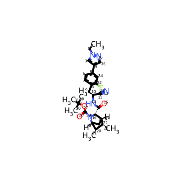 CCn1cc(-c2ccc(C[C@@H](C#N)NC(=O)[C@@H]3[C@H]4C[C@@H]([C@@H](C)[C@H]4C)N3C(=O)OC(C)(C)C)c(F)c2)cn1